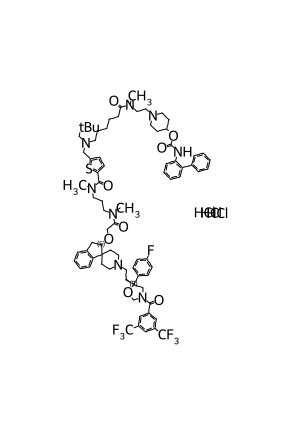 CN(CCN1CCC(OC(=O)Nc2ccccc2-c2ccccc2)CC1)C(=O)CCCCCN(Cc1ccc(C(=O)N(C)CCCN(C)C(=O)CO[C@H]2Cc3ccccc3C23CCN(CC[C@@]2(c4ccc(F)cc4)CN(C(=O)c4cc(C(F)(F)F)cc(C(F)(F)F)c4)CO2)CC3)s1)CC(C)(C)C.Cl.Cl.Cl